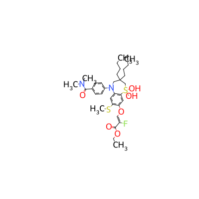 CCCCC1(CCCC)CN(c2ccc(C(=O)N(C)C)cc2)c2cc(SC)c(O/C=C(\F)C(=O)OCC)cc2S(O)(O)C1